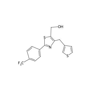 OCc1sc(-c2ccc(C(F)(F)F)cc2)nc1Cc1ccsc1